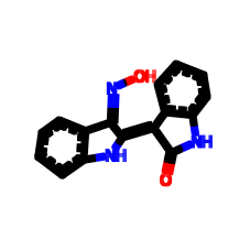 O=C1Nc2ccccc2/C1=C1/Nc2ccccc2/C1=N/O